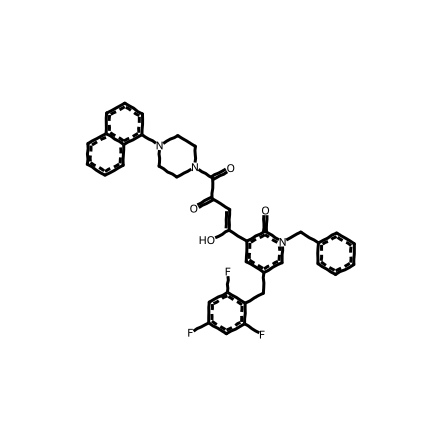 O=C(C=C(O)c1cc(Cc2c(F)cc(F)cc2F)cn(Cc2ccccc2)c1=O)C(=O)N1CCN(c2cccc3ccccc23)CC1